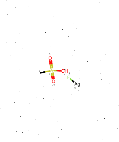 CS(=O)(=O)O.[F][Ag]